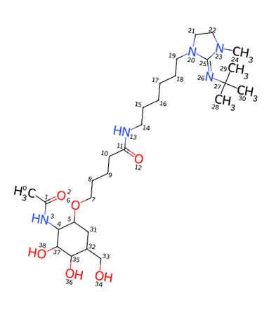 CC(=O)NC1C(OCCCCC(=O)NCCCCCCN2CCN(C)C2=NC(C)(C)C)CC(CO)C(O)C1O